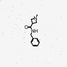 CN1CC(C(=O)NCc2ccccc2)C1